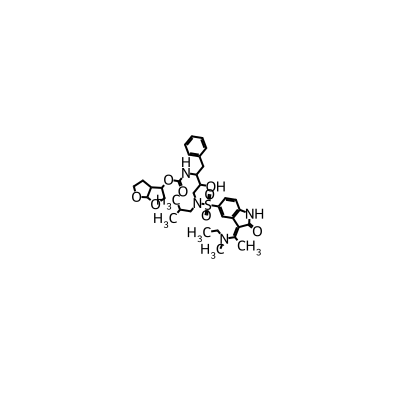 CCN(C)/C(C)=C1/C(=O)Nc2ccc(S(=O)(=O)N(CC(C)C)CC(O)C(Cc3ccccc3)NC(=O)OC3COC4OCCC34)cc21